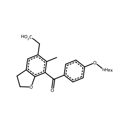 CCCCCCOc1ccc(C(=O)c2c(C)c(CC(=O)O)cc3c2OCC3)cc1